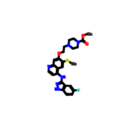 CC(C)(C)OC(=O)N1CCN(CCOc2cc3nccc(Nc4n[nH]c5ccc(F)cc45)c3cc2SC(C)(C)C)CC1